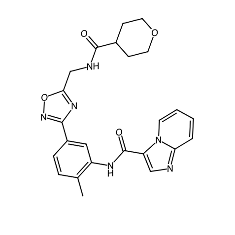 Cc1ccc(-c2noc(CNC(=O)C3CCOCC3)n2)cc1NC(=O)c1cnc2ccccn12